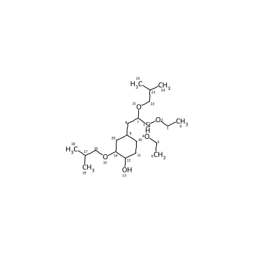 CCO[SiH](OCC)C(CC1CCC(O)C(OCC(C)C)C1)OCC(C)C